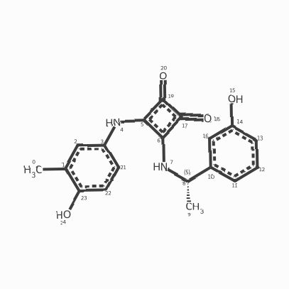 Cc1cc(Nc2c(N[C@@H](C)c3cccc(O)c3)c(=O)c2=O)ccc1O